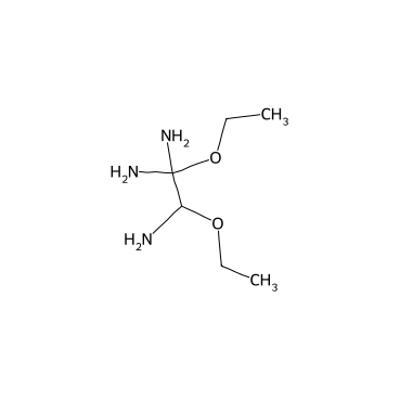 CCOC(N)C(N)(N)OCC